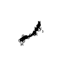 CN(C)c1ccc2nc(-c3ncc(-c4ccc(NCCOCCOc5ccc6c(c5)CN(C5CCC(=O)NC5=O)C6=O)nc4)cc3C(F)(F)F)sc2c1